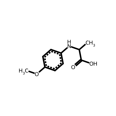 COc1ccc(NC(C)C(=O)O)cc1